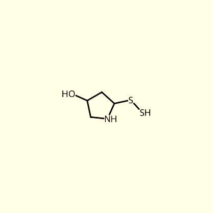 OC1CNC(SS)C1